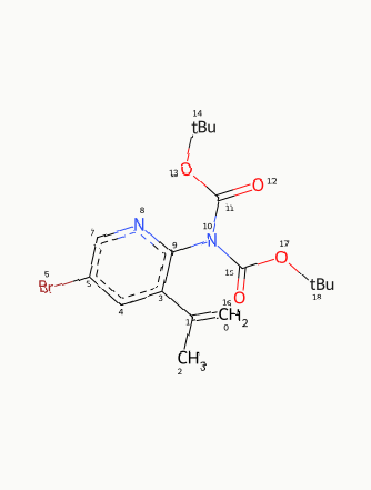 C=C(C)c1cc(Br)cnc1N(C(=O)OC(C)(C)C)C(=O)OC(C)(C)C